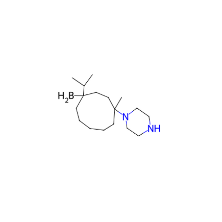 BC1(C(C)C)CCCCCC(C)(N2CCNCC2)CC1